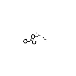 CCCCOCC1Cc2cc(C(O)(Cc3cccc(F)c3)c3ccccn3)ccc2OO1